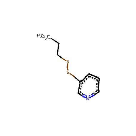 O=C(O)CCSSc1cccnc1